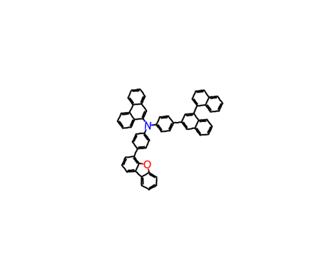 c1ccc2c(-c3cc(-c4ccc(N(c5ccc(-c6cccc7c6oc6ccccc67)cc5)c5cc6ccccc6c6ccccc56)cc4)cc4ccccc34)cccc2c1